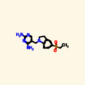 CCS(=O)(=O)c1ccc2c(c1)CCN2Cc1cnc(N)nc1N